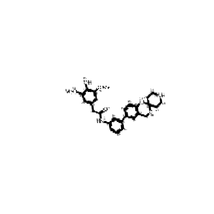 COc1cc(CC(=O)Nc2cccc(-c3ccc4c(c3)COC3(CCNCC3)O4)c2)cc(OC)c1O